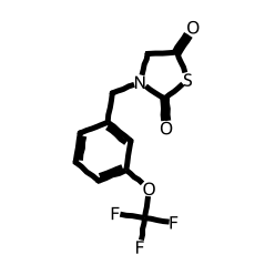 O=C1CN(Cc2cccc(OC(F)(F)F)c2)C(=O)S1